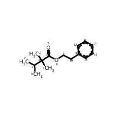 CC(C)C(C)(C)C(=O)OCCc1ccccc1